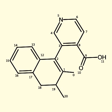 CC1=C(c2cnccc2C(=O)O)c2ccccc2CC1C